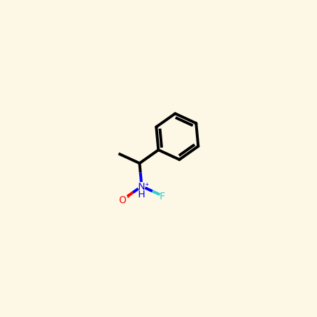 CC(c1ccccc1)[NH+]([O-])F